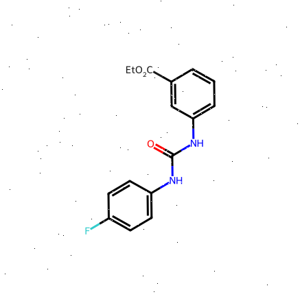 CCOC(=O)c1cccc(NC(=O)Nc2ccc(F)cc2)c1